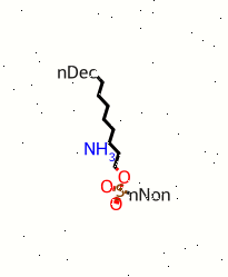 CCCCCCCCCCCCCCCCCCOS(=O)(=O)CCCCCCCCC.N